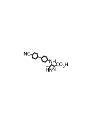 Cc1[nH]nc(C(=O)O)c1Nc1ccc(-c2ccc(C#N)cc2)cc1